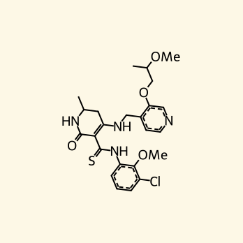 COc1c(Cl)cccc1NC(=S)C1=C(NCc2ccncc2OCC(C)OC)CC(C)NC1=O